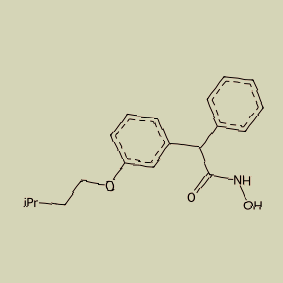 CC(C)CCOc1cccc(C(C(=O)NO)c2ccccc2)c1